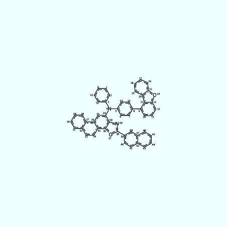 c1ccc(N(c2ccc(-c3cccc4oc5ccccc5c34)cc2)c2cc3c4ccccc4ccc3c3oc(-c4ccc5ccccc5c4)nc23)cc1